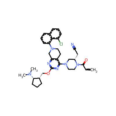 C=CC(=O)N1CCN(c2nc(OC[C@@H]3CCC[C@@H]3N(C)C)nc3c2CCN(c2cccc4cccc(Cl)c24)C3)C[C@@H]1CC#N